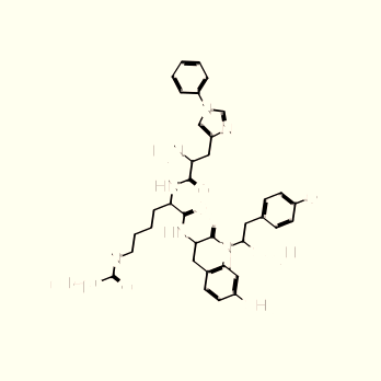 CCCCCCCC(=O)NCCCCC(NC(=O)C(N)Cc1cn(-c2ccccc2)cn1)C(=O)NC(Cc1ccc(C)cc1)C(=O)NC(Cc1ccc(O)cc1)C(=O)O